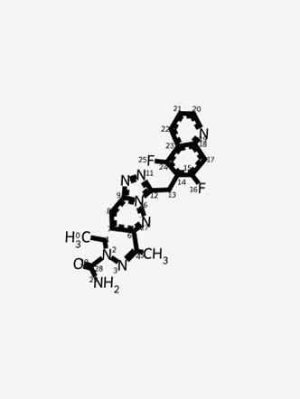 CCN(/N=C(/C)c1ccc2nnc(Cc3c(F)cc4ncccc4c3F)n2n1)C(N)=O